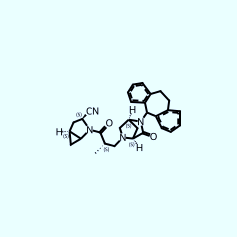 C[C@@H](CN1C[C@@H]2C[C@H]1C(=O)N2C1c2ccccc2CCc2ccccc21)C(=O)N1C2C[C@H]2C[C@H]1C#N